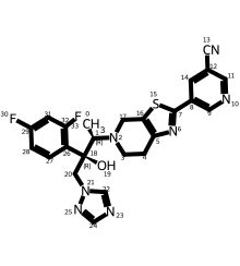 C[C@@H](N1CCc2nc(-c3cncc(C#N)c3)sc2C1)[C@](O)(Cn1cncn1)c1ccc(F)cc1F